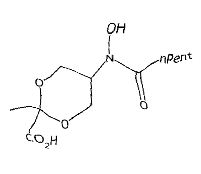 CCCCCC(=O)N(O)C1COC(C)(C(=O)O)OC1